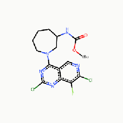 CC(C)(C)OC(=O)NC1CCCCN(c2nc(Cl)nc3c(F)c(Cl)ncc23)C1